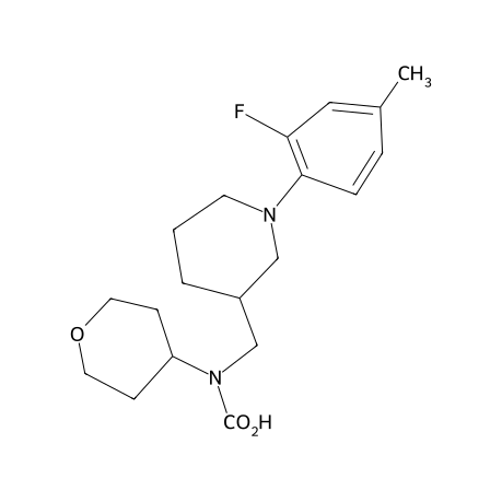 Cc1ccc(N2CCCC(CN(C(=O)O)C3CCOCC3)C2)c(F)c1